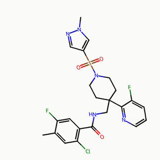 Cc1cc(Cl)c(C(=O)NCC2(c3ncccc3F)CCN(S(=O)(=O)c3cnn(C)c3)CC2)cc1F